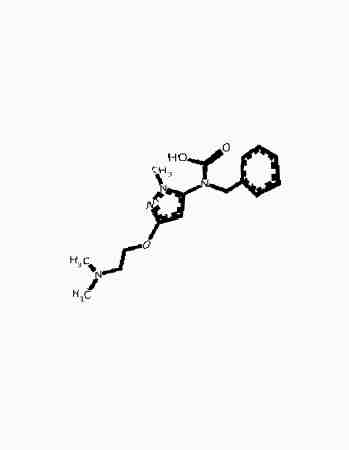 CN(C)CCOc1cc(N(Cc2ccccc2)C(=O)O)n(C)n1